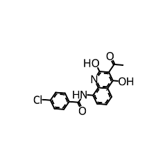 CC(=O)c1c(O)nc2c(NC(=O)c3ccc(Cl)cc3)cccc2c1O